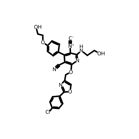 [C-]#[N+]c1c(NCCO)nc(OCc2coc(-c3ccc(Cl)cc3)n2)c(C#N)c1-c1ccc(OCCO)cc1